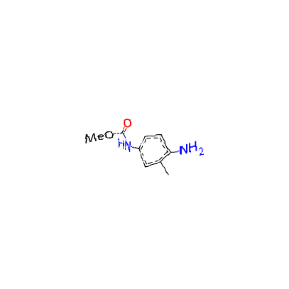 COC(=O)Nc1ccc(N)c(C)c1